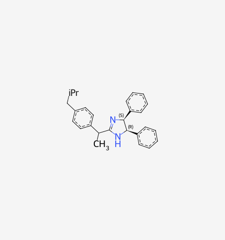 CC(C)Cc1ccc(C(C)C2=N[C@@H](c3ccccc3)[C@@H](c3ccccc3)N2)cc1